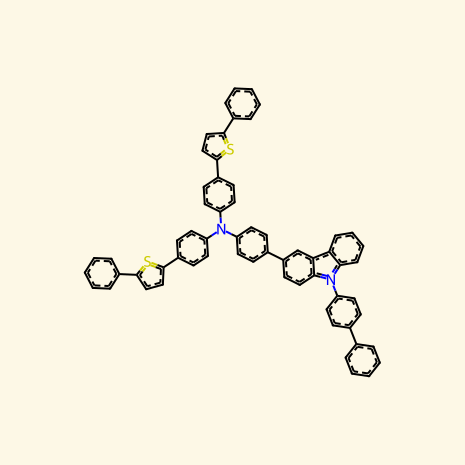 c1ccc(-c2ccc(-n3c4ccccc4c4cc(-c5ccc(N(c6ccc(-c7ccc(-c8ccccc8)s7)cc6)c6ccc(-c7ccc(-c8ccccc8)s7)cc6)cc5)ccc43)cc2)cc1